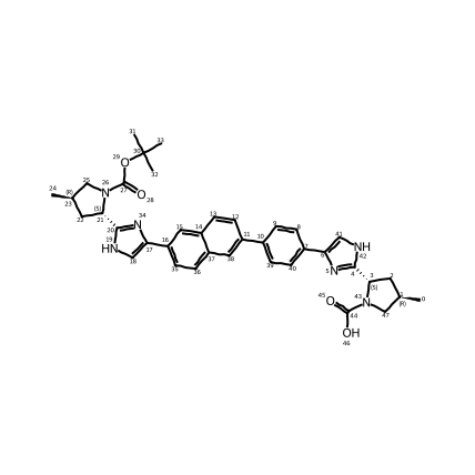 C[C@@H]1C[C@@H](c2nc(-c3ccc(-c4ccc5cc(-c6c[nH]c([C@@H]7C[C@@H](C)CN7C(=O)OC(C)(C)C)n6)ccc5c4)cc3)c[nH]2)N(C(=O)O)C1